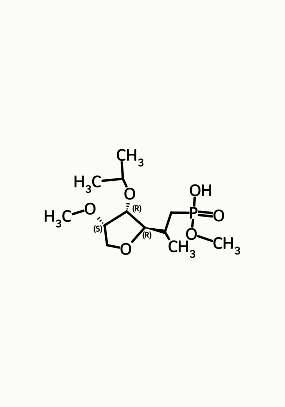 CO[C@H]1CO[C@H](C(C)CP(=O)(O)OC)[C@H]1OC(C)C